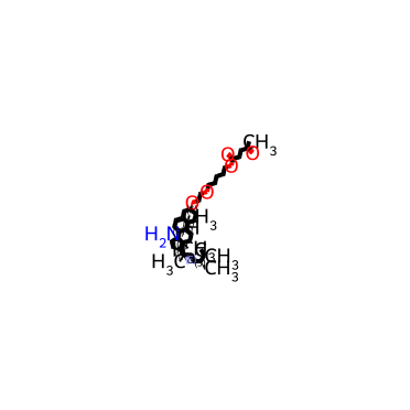 CC[C@H](/C=C/[C@@H](C)[C@H]1CCC2[C@]1(C)CC[C@H]1[C@@]3(C)CC[C@H](OCCOCCCCCOC(=O)CCC(C)=O)CC3=CC[C@@]21N)C(C)C